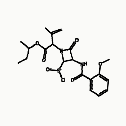 C=C(C)C(C(=O)OC(C)CC)N1C(=O)C(NC(=O)c2ccccc2OC)C1[S+]([O-])Cl